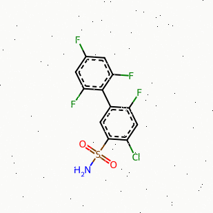 NS(=O)(=O)c1cc(-c2c(F)cc(F)cc2F)c(F)cc1Cl